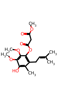 COC(=O)CC(=O)Oc1c(CC=C(C)C)c(C)c(O)c(OC)c1OC